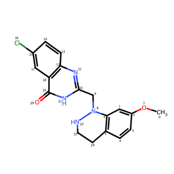 COc1ccc2c(c1)N(Cc1nc3ccc(Cl)cc3c(=O)[nH]1)NCC2